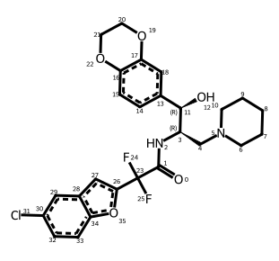 O=C(N[C@H](CN1CCCCC1)[C@H](O)c1ccc2c(c1)OCCO2)C(F)(F)c1cc2cc(Cl)ccc2o1